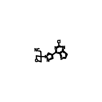 N#CCC1(n2cc(-c3nc(Cl)nc4ccsc34)cn2)COC1